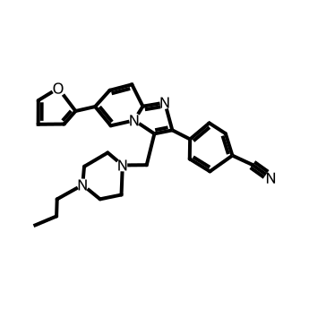 CCCN1CCN(Cc2c(-c3ccc(C#N)cc3)nc3ccc(-c4ccco4)cn23)CC1